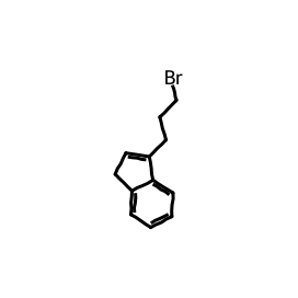 BrCCCC1=CCc2ccccc21